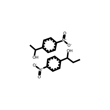 CC(O)c1ccc([N+](=O)[O-])cc1.CCC(O)c1ccc([N+](=O)[O-])cc1